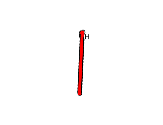 COCCOCCOCCOCCOCCOCCOCCOCCOCCOCCOCCOCCOCCOCCOCCOCCOCCOCCOCCOCCOCCOCCOCCOCCOCCOCCOCCOCCOCCOCCOCCOCCOCCOCCOCCOCCNC(=O)CCCCCN1C(=O)C=CC1=O